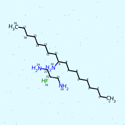 CCCCCCCCCC(N)CCCCCCCC.F.NCCCN